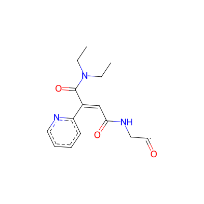 CCN(CC)C(=O)C(=CC(=O)NC[C]=O)c1ccccn1